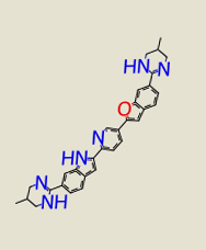 CC1CN=C(c2ccc3cc(-c4ccc(-c5cc6ccc(C7=NCC(C)CN7)cc6o5)cn4)[nH]c3c2)NC1